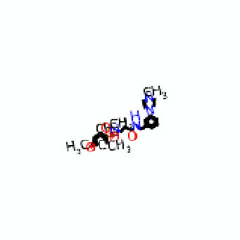 COc1cc(C)c(S(=O)(=O)N(C)CCC(=O)NCc2cccc(N3CCN(C)CC3)c2)c(C)c1